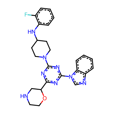 Fc1ccccc1NC1CCN(c2nc(C3CNCCO3)nc(-n3cnc4ccccc43)n2)CC1